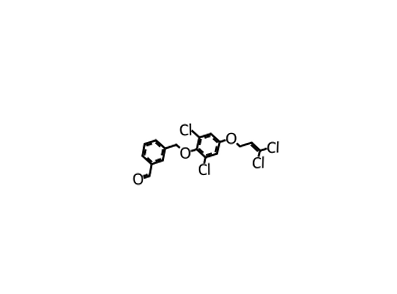 O=Cc1cccc(COc2c(Cl)cc(OCC=C(Cl)Cl)cc2Cl)c1